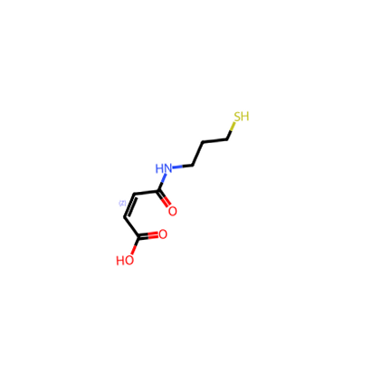 O=C(O)/C=C\C(=O)NCCCS